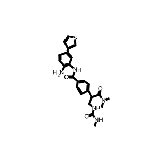 CNC(=O)NCC(C(=O)N(C)C)c1ccc(C(=O)Nc2cc(-c3ccsc3)ccc2N)cc1